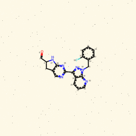 O=CC1Cc2cnc(-c3nn(Cc4ccccc4F)c4ncccc34)nc2N1